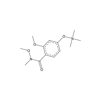 COc1cc(O[Si](C)(C)C)ccc1C(=O)N(C)OC